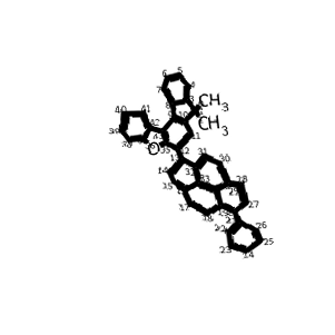 CC1(C)c2ccccc2-c2c1cc(-c1ccc3ccc4c(-c5ccccc5)ccc5ccc1c3c54)c1oc3ccccc3c21